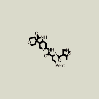 CCC[C@H](C)CC[C@H](NC(=O)c1cnoc1C)C(=O)Nc1cc2c(cn1)C1(CCOCC1)C(=O)N2